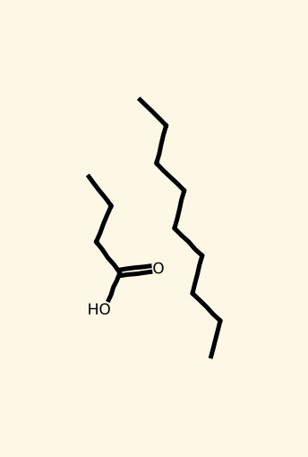 CCCC(=O)O.CCCCCCCCC